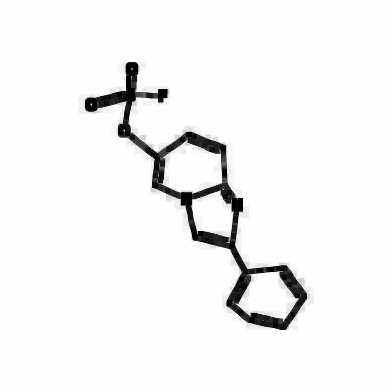 O=S(=O)(F)Oc1ccc2nc(-c3ccccc3)cn2c1